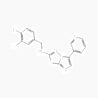 Fc1ccc(CNc2nn3c(-c4cccnc4)cnc3s2)cc1Cl